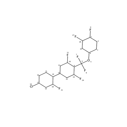 FC1CCC(OC(F)(F)C2C(F)CC(C3CCC(Cl)CC3F)CC2F)CC1F